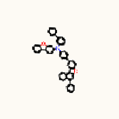 C1=Cc2c(c(-c3ccccc3)cc3oc4ccc(-c5ccc(N(c6cccc(-c7ccccc7)c6)c6ccc7c(c6)oc6ccccc67)cc5)cc4c23)CC1